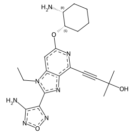 CCn1c(-c2nonc2N)nc2c(C#CC(C)(C)O)nc(O[C@H]3CCCC[C@H]3N)cc21